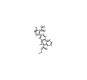 CCOC(=O)C1(c2ccccc2-c2ccc(-c3onc(C)c3C(=O)O)cc2)CC1